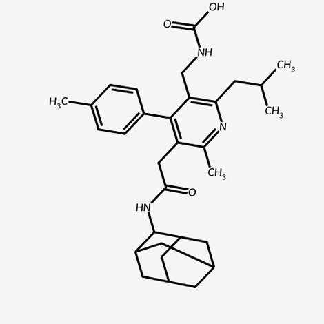 Cc1ccc(-c2c(CC(=O)NC3C4CC5CC(C4)CC3C5)c(C)nc(CC(C)C)c2CNC(=O)O)cc1